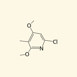 COc1cc(Cl)nc(OC)c1C